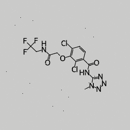 Cn1nnnc1NC(=O)c1ccc(Cl)c(OCC(=O)NCC(F)(F)F)c1Cl